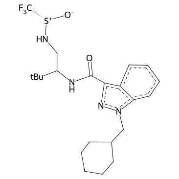 CC(C)(C)C(CN[S@@+]([O-])C(F)(F)F)NC(=O)c1nn(CC2CCCCC2)c2ccccc12